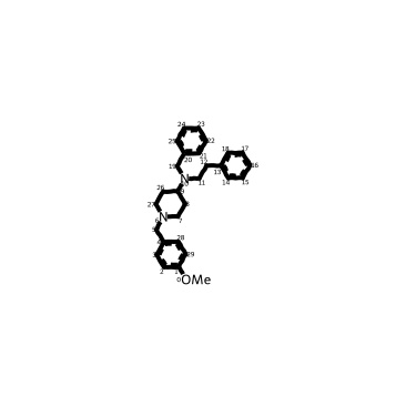 COc1ccc(CN2CCC(N(CCc3ccccc3)Cc3ccccc3)CC2)cc1